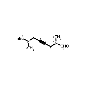 CCCCN(C)CC#CCN(C)C=O